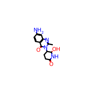 Cc1nc2cc(N)ccc2c(=O)n1C1CCC(=O)NC1O